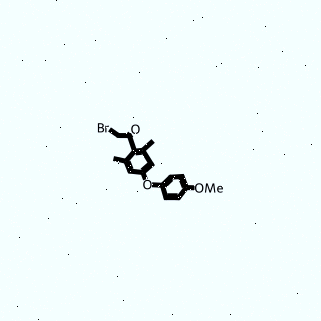 COc1ccc(Oc2cc(C)c(C(=O)CBr)c(C)c2)cc1